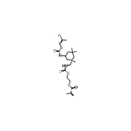 C=C(C)C(=O)OCCOC(=O)NCC1(C)CC(NC(=O)ON=C(C)CC)CC(C)(C)C1